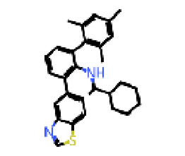 Cc1cc(C)c(-c2cccc(-c3ccc4scnc4c3)c2NC(C)C2CCCCC2)c(C)c1